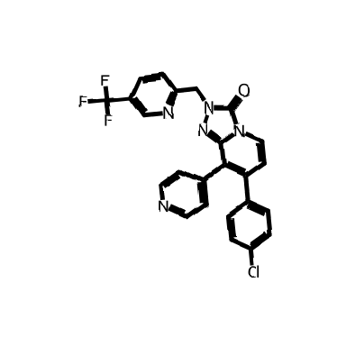 O=c1n(Cc2ccc(C(F)(F)F)cn2)nc2c(-c3ccncc3)c(-c3ccc(Cl)cc3)ccn12